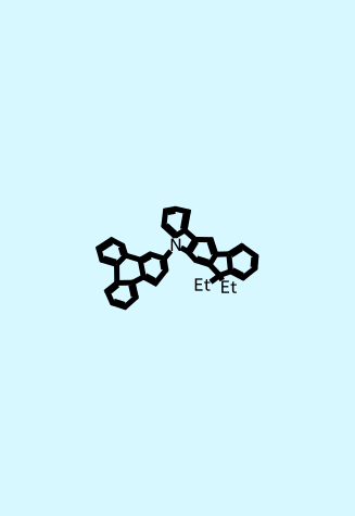 CCC1(CC)c2ccccc2-c2cc3c4ccccc4n(-c4ccc5c6ccccc6c6ccccc6c5c4)c3cc21